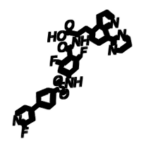 O=C(NC(Cc1ccc(-c2ncccn2)c2ncccc12)C(=O)O)c1c(F)cc(NS(=O)(=O)c2ccc(-c3ccnc(F)c3)cc2)cc1F